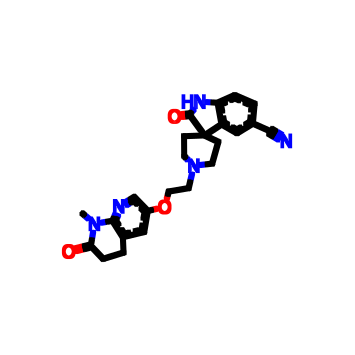 CN1C(=O)CCc2cc(OCCN3CCC4(CC3)C(=O)Nc3ccc(C#N)cc34)cnc21